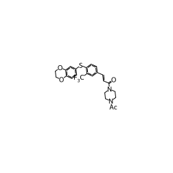 CC(=O)N1CCN(C(=O)C=Cc2ccc(Sc3ccc4c(c3)OCCO4)c(C(F)(F)F)c2)CC1